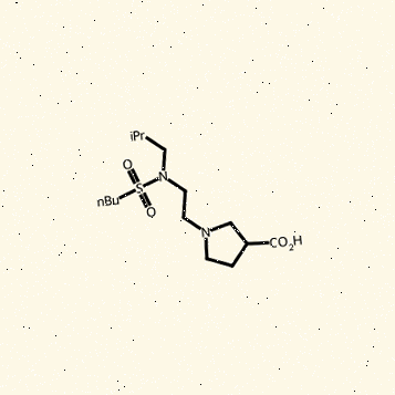 CCCCS(=O)(=O)N(CCN1CCC(C(=O)O)C1)CC(C)C